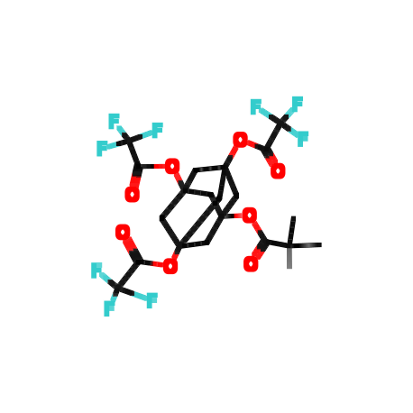 CC(C)(C)C(=O)OC12CC3(OC(=O)C(F)(F)F)CC(OC(=O)C(F)(F)F)(C1)CC(OC(=O)C(F)(F)F)(C2)C3